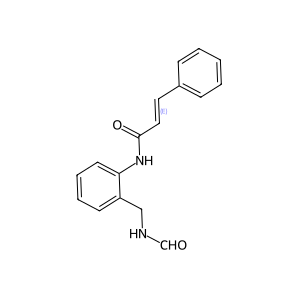 O=CNCc1ccccc1NC(=O)/C=C/c1ccccc1